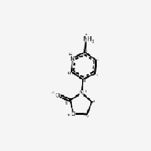 Nc1ccc(N2CCOC2=O)cn1